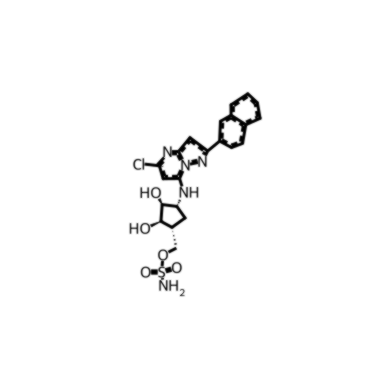 NS(=O)(=O)OC[C@H]1C[C@@H](Nc2cc(Cl)nc3cc(-c4ccc5ccccc5c4)nn23)[C@H](O)[C@@H]1O